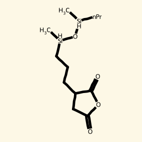 CCC[SiH](C)O[SiH](C)CCCC1CC(=O)OC1=O